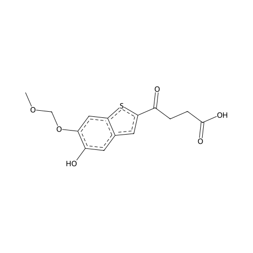 COCOc1cc2sc(C(=O)CCC(=O)O)cc2cc1O